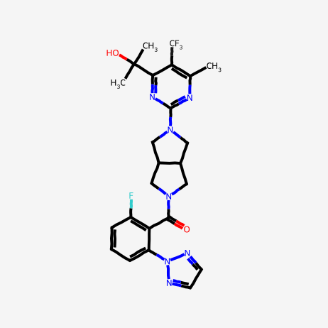 Cc1nc(N2CC3CN(C(=O)c4c(F)cccc4-n4nccn4)CC3C2)nc(C(C)(C)O)c1C(F)(F)F